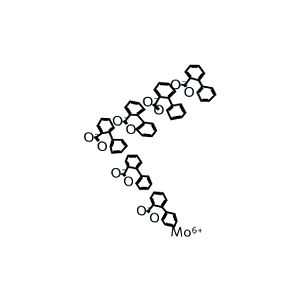 O=C([O-])c1ccccc1-c1ccccc1.O=C([O-])c1ccccc1-c1ccccc1.O=C([O-])c1ccccc1-c1ccccc1.O=C([O-])c1ccccc1-c1ccccc1.O=C([O-])c1ccccc1-c1ccccc1.O=C([O-])c1ccccc1-c1ccccc1.[Mo+6]